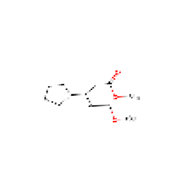 CC(C)(C)OC[CH]C(CC(=O)OC(F)(F)F)C1C[CH]CC1